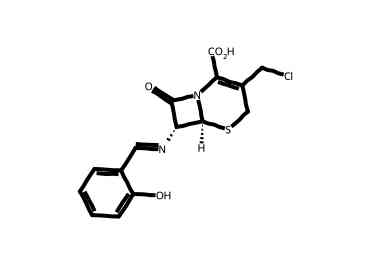 O=C(O)C1=C(CCl)CS[C@H]2[C@H](N=Cc3ccccc3O)C(=O)N12